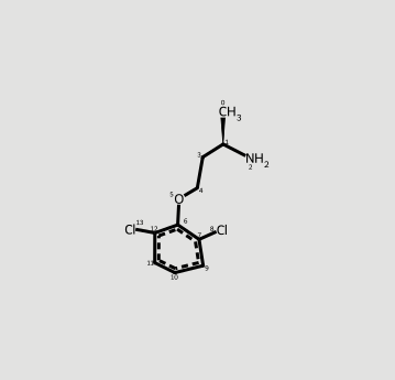 C[C@@H](N)CCOc1c(Cl)cccc1Cl